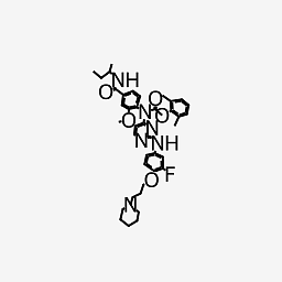 CCC(C)NC(=O)c1ccc(N(C(=O)Oc2c(C)cccc2C)c2ccnc(Nc3ccc(OCCCN4CCCCC4)c(F)c3)n2)c(OC)c1